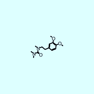 COc1ccc(CCN(C)C(=O)N(C)C)cc1OC